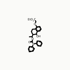 CCOC(=O)COc1cccc2c1CCC(C(C)OC(=O)N(c1ccccc1)c1ccccc1)C2O